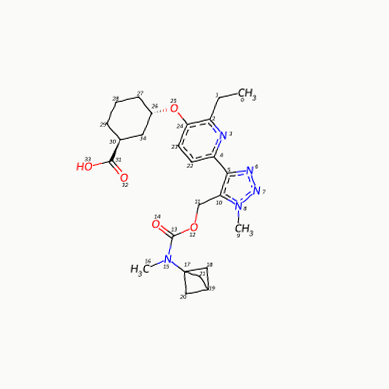 CCc1nc(-c2nnn(C)c2COC(=O)N(C)C23CC(C2)C3)ccc1O[C@H]1CCC[C@H](C(=O)O)C1